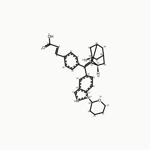 O=C(O)C=Cc1ccc(C(c2ccc3c(cnn3C3CCCCO3)c2)=C2[C@H]3CC4CC(C3)C[C@@H]2C4)cc1